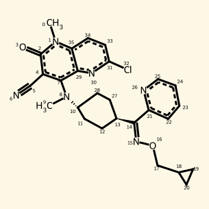 Cn1c(=O)c(C#N)c(N(C)[C@H]2CC[C@H](/C(=N/OCC3CC3)c3ccccn3)CC2)c2nc(Cl)ccc21